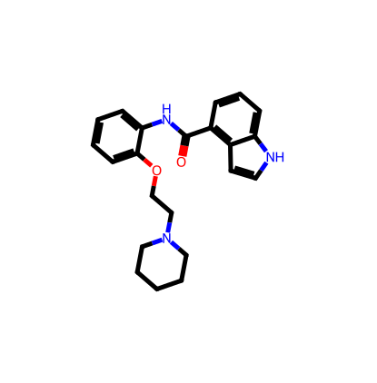 O=C(Nc1ccccc1OCCN1CCCCC1)c1cccc2[nH]ccc12